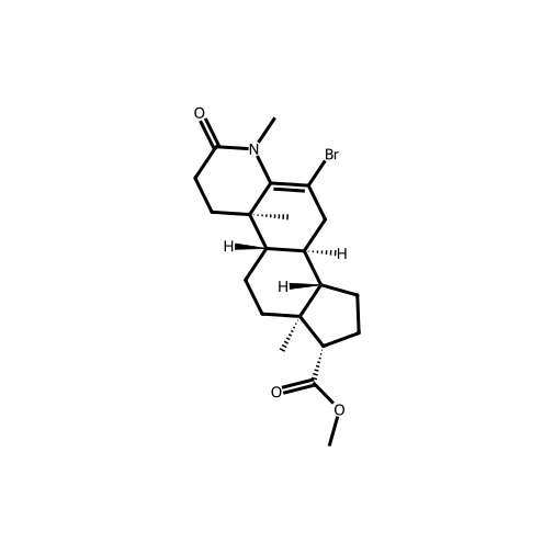 COC(=O)[C@H]1CC[C@H]2[C@@H]3CC(Br)=C4N(C)C(=O)CC[C@]4(C)[C@H]3CC[C@]12C